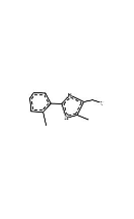 Cc1ccccc1-c1nc(CCl)c(C)o1